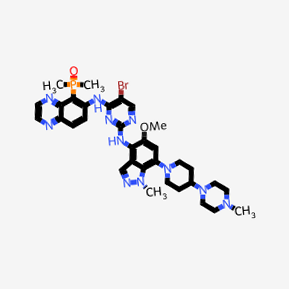 COc1cc(N2CCC(N3CCN(C)CC3)CC2)c2c(cnn2C)c1Nc1ncc(Br)c(Nc2ccc3nccnc3c2P(C)(C)=O)n1